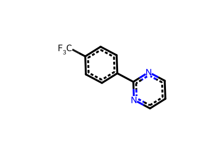 FC(F)(F)c1ccc(-c2ncccn2)cc1